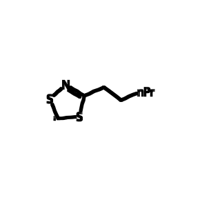 CCCCCC1=NS[C]S1